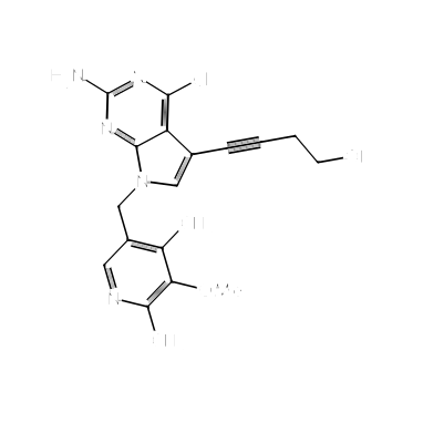 COc1c(C)ncc(Cn2cc(C#CCCO)c3c(Cl)nc(N)nc32)c1C